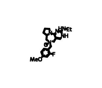 CCN[C@@H]1N=C2C(=CN1)C[N+]([O-])(Cc1ccc(OC)cc1F)CC1CCCN21